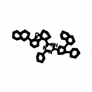 c1ccc(C2=NC(c3ccc(-c4ccccc4)c(-c4cccc5ccccc45)c3)NC(c3cccc4oc5c(-c6ccc7ccccc7c6)cccc5c34)=N2)cc1